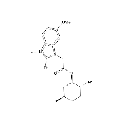 CCc1n(CC(=O)O[C@@H]2C[C@H](C)CC[C@H]2C(C)C)c2cc(OC)ccc2[n+]1C